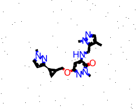 Cc1cnn(C)c1CNc1cc(OCC2C[C@H]2c2ccn(C)n2)nn(C)c1=O